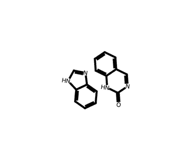 O=c1ncc2ccccc2[nH]1.c1ccc2[nH]cnc2c1